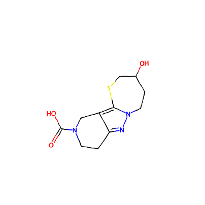 O=C(O)N1CCc2nn3c(c2C1)SCC(O)CC3